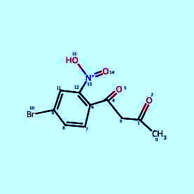 CC(=O)CC(=O)c1ccc(Br)cc1[N+](=O)O